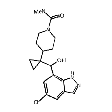 CNC(=O)N1CCC(C2(C(O)c3cc(Cl)cc4cn[nH]c34)CC2)CC1